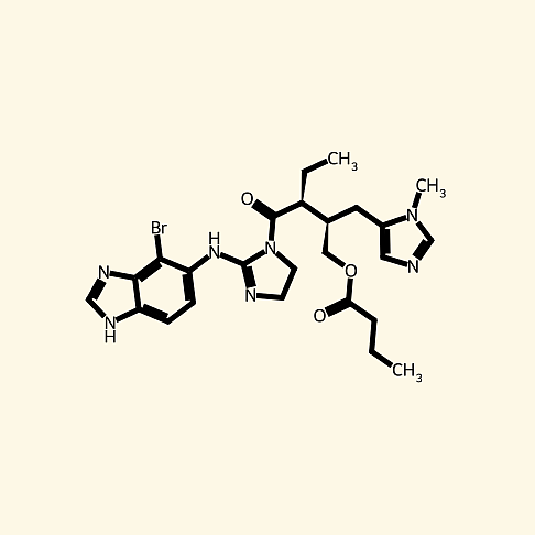 CCCC(=O)OC[C@H](Cc1cncn1C)[C@H](CC)C(=O)N1CCN=C1Nc1ccc2[nH]cnc2c1Br